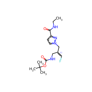 CCNC(=O)c1ccn(C/C(=C/F)CNC(=O)OC(C)(C)C)n1